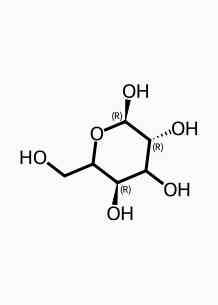 OCC1O[C@@H](O)[C@H](O)C(O)[C@H]1O